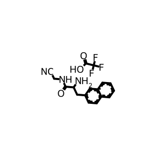 N#CCNC(=O)C(N)Cc1ccc2ccccc2c1.O=C(O)C(F)(F)F